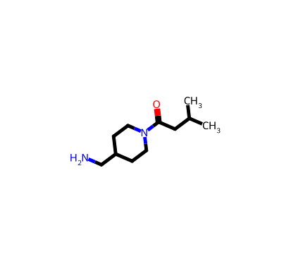 CC(C)CC(=O)N1CCC(CN)CC1